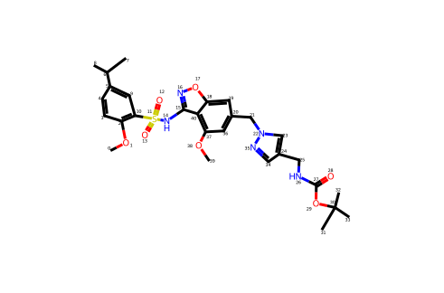 COc1ccc(C(C)C)cc1S(=O)(=O)Nc1noc2cc(Cn3cc(CNC(=O)OC(C)(C)C)cn3)cc(OC)c12